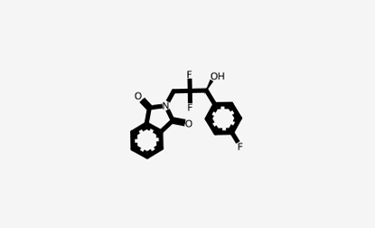 O=C1c2ccccc2C(=O)N1CC(F)(F)[C@@H](O)c1ccc(F)cc1